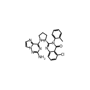 Cc1ccccc1-n1c([C@@H]2CCCN2c2nc(N)nn3ccnc23)nc2cccc(Cl)c2c1=O